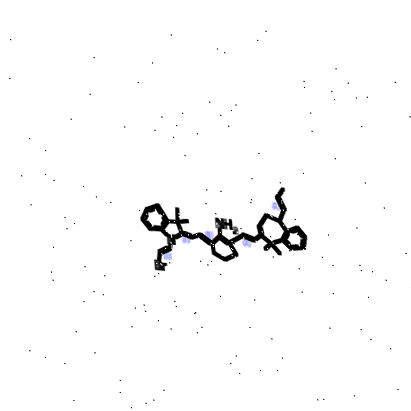 C/C=C/C1CC=C(/C=C/C2=C(N)C(=C/C=C3/N(/C=C/Br)c4ccccc4C3(C)C)/CCC2)C(C)(C)c2ccccc21